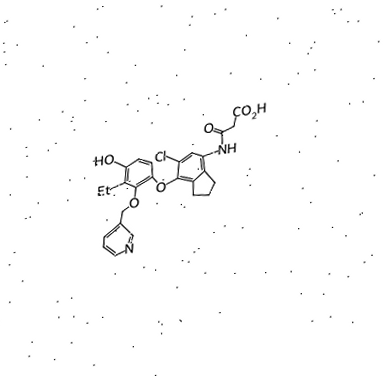 CCc1c(O)ccc(Oc2c(Cl)cc(NC(=O)CC(=O)O)c3c2CCC3)c1OCc1cccnc1